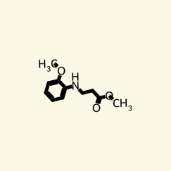 COC(=O)CCNc1ccccc1OC